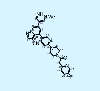 CN/C=C(\C=N)c1cc(-c2ccc(N3CCN(C(=O)Cc4ccc(F)cn4)CC3)nc2)c2c(C#N)cnn2c1